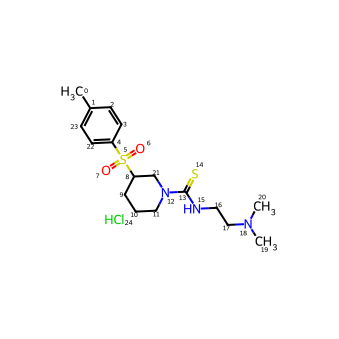 Cc1ccc(S(=O)(=O)C2CCCN(C(=S)NCCN(C)C)C2)cc1.Cl